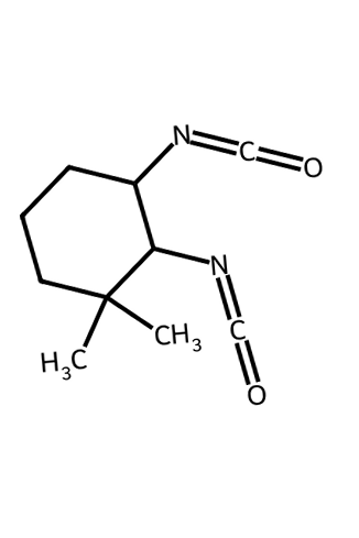 CC1(C)CCCC(N=C=O)C1N=C=O